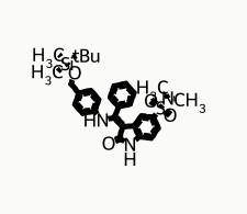 CN(C)S(=O)(=O)c1ccc2c(c1)/C(=C(/Nc1ccc(CO[Si](C)(C)C(C)(C)C)cc1)c1ccccc1)C(=O)N2